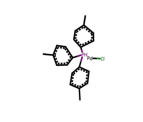 Cc1ccc([PH]([Pd][Cl])(c2ccc(C)cc2)c2ccc(C)cc2)cc1